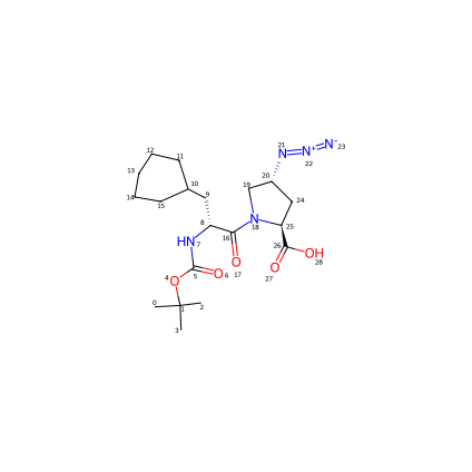 CC(C)(C)OC(=O)N[C@H](CC1CCCCC1)C(=O)N1C[C@H](N=[N+]=[N-])C[C@H]1C(=O)O